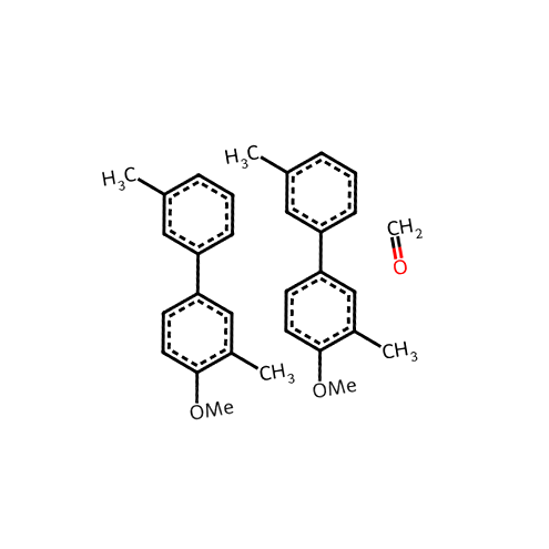 C=O.COc1ccc(-c2cccc(C)c2)cc1C.COc1ccc(-c2cccc(C)c2)cc1C